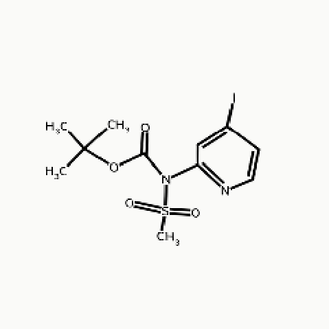 CC(C)(C)OC(=O)N(c1cc(I)ccn1)S(C)(=O)=O